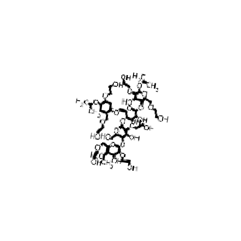 CC(C)OC1OC(COCCO)C(OC2OC(CO[C@H]3C[C@H](OCCO)C(OC(C)C)CC3COCCO)C(OC3OC(CO)C(OC4OC(COCCO)C(C(C)C)C(O)C4OCCO)C(O)C3OCCO)C(O)C2O)C(O)C1OCCO